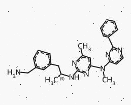 Cc1cc(N(C)c2ccnc(-c3ccccc3)n2)nc(N[C@@H](C)Cc2cccc(CN)c2)n1